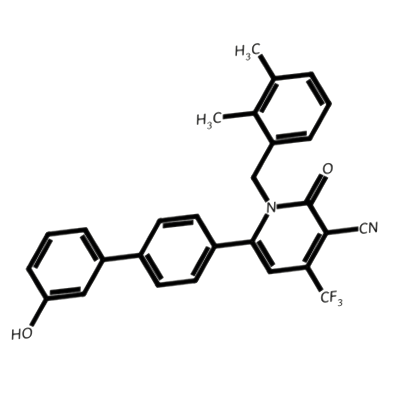 Cc1cccc(Cn2c(-c3ccc(-c4cccc(O)c4)cc3)cc(C(F)(F)F)c(C#N)c2=O)c1C